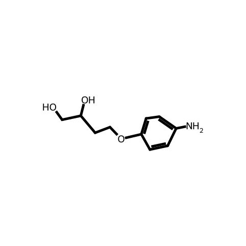 Nc1ccc(OCCC(O)CO)cc1